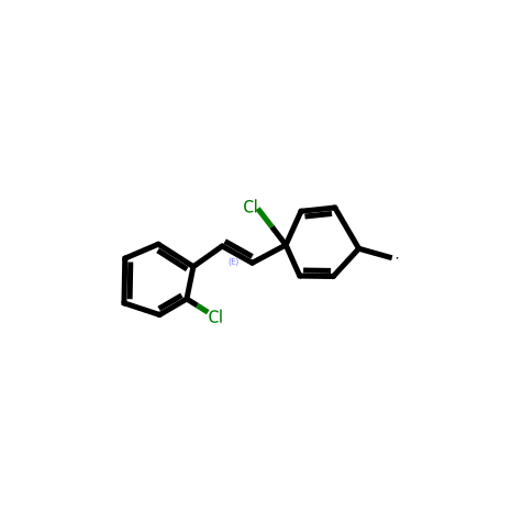 [CH2]C1C=CC(Cl)(/C=C/c2ccccc2Cl)C=C1